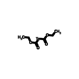 CCOC(=O)[Te]C(=O)OCC